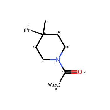 COC(=O)N1CCC(C)(C(C)C)CC1